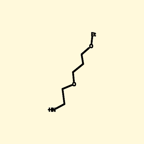 CCOCCCOCC[NH]